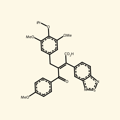 COc1ccc(C(=O)C(Cc2cc(OC)c(OC(C)C)c(OC)c2)=C(C(=O)O)c2ccc3nsnc3c2)cc1